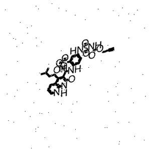 C#CCOC(=O)NS(=O)(=O)Nc1ccc2c(c1)S(=O)(=O)N=C(c1c(C(O)CC(C)C)c3cccnc3[nH]c1=O)N2